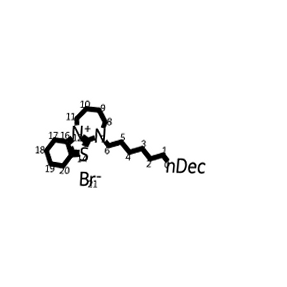 CCCCCCCCCCCCCCCCN1CCCC[n+]2c1sc1c2CCCC1.[Br-]